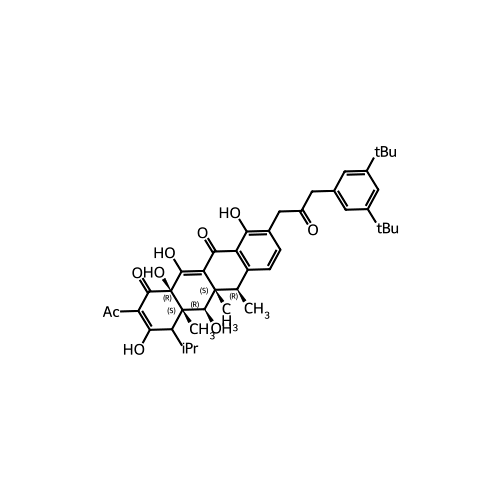 CC(=O)C1=C(O)C(C(C)C)[C@@]2(C)[C@H](O)[C@]3(C)C(=C(O)[C@@]2(O)C1=O)C(=O)c1c(ccc(CC(=O)Cc2cc(C(C)(C)C)cc(C(C)(C)C)c2)c1O)[C@H]3C